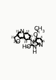 CCOc1ccnc2c1N(c1ccc3ncc4c(c3c1)OCC4)C(O)N2